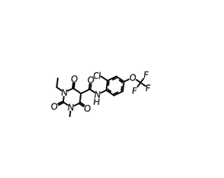 CCN1C(=O)C(C(=O)Nc2ccc(OC(F)(F)F)cc2Cl)C(=O)N(C)C1=O